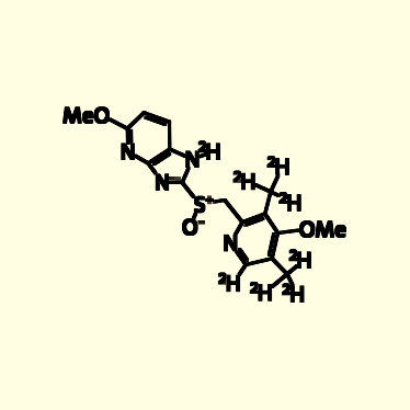 [2H]c1nc(C[S+]([O-])c2nc3nc(OC)ccc3n2[2H])c(C([2H])([2H])[2H])c(OC)c1C([2H])([2H])[2H]